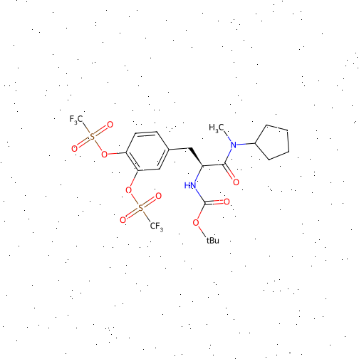 CN(C(=O)[C@H](Cc1ccc(OS(=O)(=O)C(F)(F)F)c(OS(=O)(=O)C(F)(F)F)c1)NC(=O)OC(C)(C)C)C1CCCC1